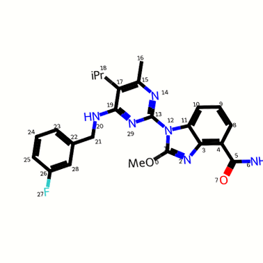 COc1nc2c(C(N)=O)cccc2n1-c1nc(C)c(C(C)C)c(NCc2cccc(F)c2)n1